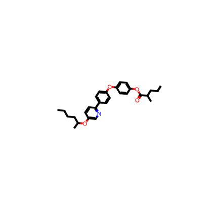 CCCCC(C)Oc1ccc(-c2ccc(Oc3ccc(OC(=O)C(C)CCC)cc3)cc2)nc1